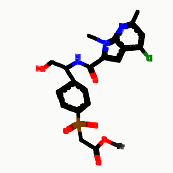 Cc1cc(Cl)c2cc(C(=O)NC(CO)c3ccc(S(=O)(=O)CC(=O)OC(C)C)cc3)n(C)c2n1